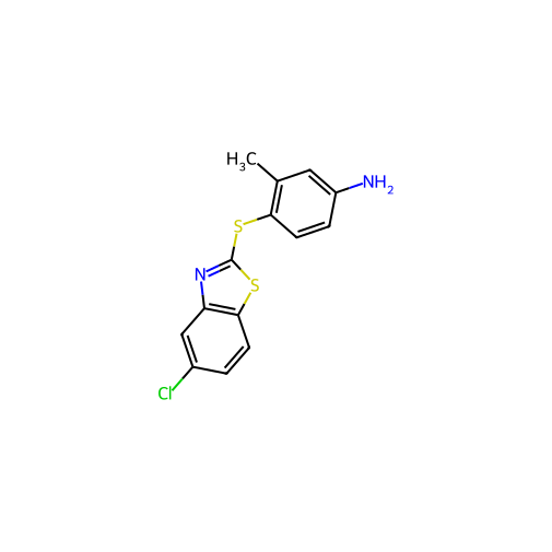 Cc1cc(N)ccc1Sc1nc2cc(Cl)ccc2s1